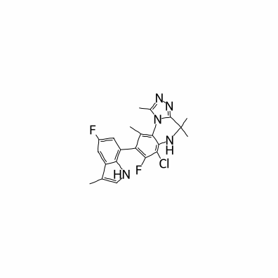 Cc1c(-c2cc(F)cc3c(C)c[nH]c23)c(F)c(Cl)c2c1-n1c(C)nnc1C(C)(C)N2